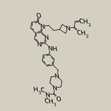 C=CC(=C)N1CC(CCn2c(=O)ccc3cnc(Nc4cccc(CN5CCN(C(=O)N(C)C)CC5)c4)nc32)C1